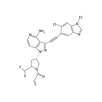 C=CC(=O)N1C[C@@H](n2nc(C#Cc3cc4ncn(CC)c4cc3Cl)c3c(N)nccc32)CC1C(F)F